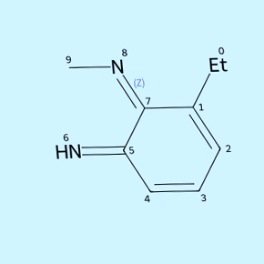 CCC1=CC=CC(=N)/C1=N\C